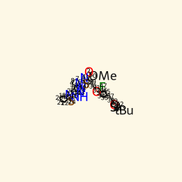 COC(=O)c1nc(N2CCCc3c2nnc(Nc2nc4ccccc4s2)c3C)sc1CCCOc1ccc(CCCO[Si](C)(C)C(C)(C)C)cc1F